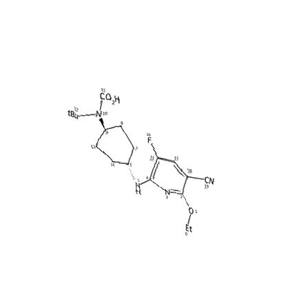 CCOc1nc(N[C@H]2CC[C@H](N(C(=O)O)C(C)(C)C)CC2)c(F)cc1C#N